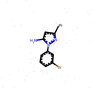 CC(C)c1cc(N)n(-c2cccc(Br)c2)n1